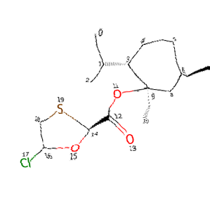 CC(C)[C@@H]1CC[C@@H](C)C[C@@]1(C)OC(=O)[C@H]1OC(Cl)CS1